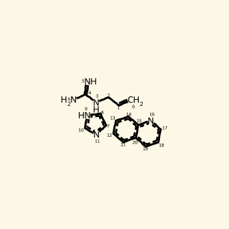 C=CCNC(=N)N.c1c[nH]cn1.c1ccc2ncccc2c1